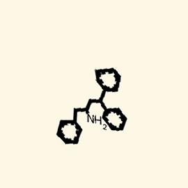 NC(Cc1ccccc1)CC(c1ccccc1)c1ccccc1